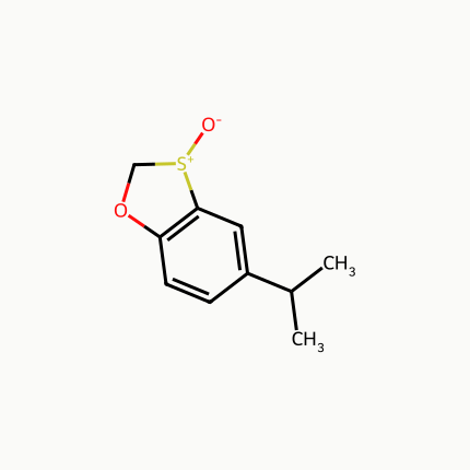 CC(C)c1ccc2c(c1)[S+]([O-])CO2